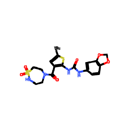 CC(C)(C)c1cc(C(=O)N2CCNS(=O)(=O)CC2)c(NC(=O)Nc2ccc3c(c2)OCO3)s1